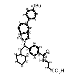 CC(C)(C)c1ccc(-c2ccc3nn(C(CC4CCCCC4)c4ccc(C(=O)NCCC(=O)O)cc4)cc3c2)cc1